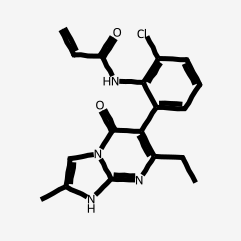 C=CC(=O)Nc1c(Cl)cccc1-c1c(CC)nc2[nH]c(C)cn2c1=O